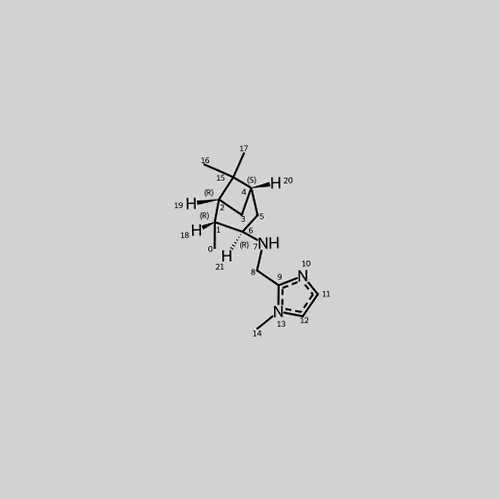 C[C@@H]1[C@H]2C[C@@H](C[C@H]1NCc1nccn1C)C2(C)C